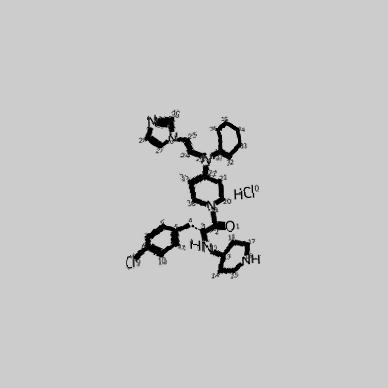 Cl.O=C([C@@H](Cc1ccc(Cl)cc1)NC1CCNCC1)N1CCC(N(CCn2ccnc2)C2CCCCC2)CC1